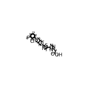 O=C(O)Cn1nnc(-c2cnc(N3CC4CN(c5cccc(F)c5Cl)CC4C3)s2)n1